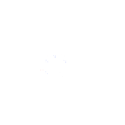 O=C(C1CCCCC1)N(c1ccc(F)cc1C1CC1)c1ccc([N+](=O)[O-])c2nonc12